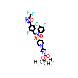 CC(C)(C)OC(=O)N1CC(N2CCC(S(=O)(=O)N(Cc3ccc(-c4nnc(C(F)F)o4)cc3F)c3ccc(F)c(Cl)c3)CC2)C1